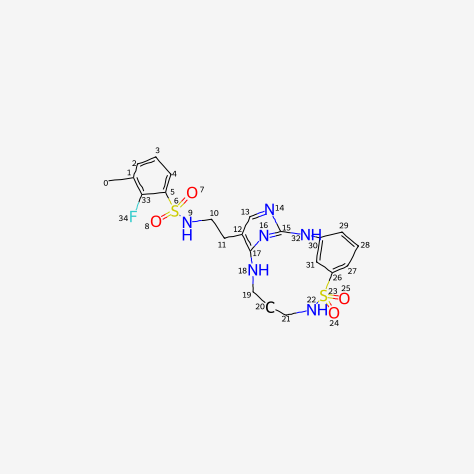 Cc1cccc(S(=O)(=O)NCCc2cnc3nc2NCCCNS(=O)(=O)c2cccc(c2)N3)c1F